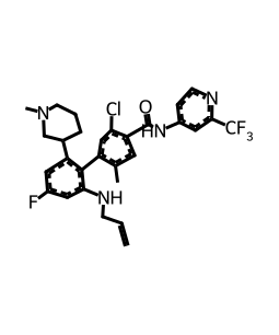 C=CCNc1cc(F)cc(C2CCCN(C)C2)c1-c1cc(Cl)c(C(=O)Nc2ccnc(C(F)(F)F)c2)cc1C